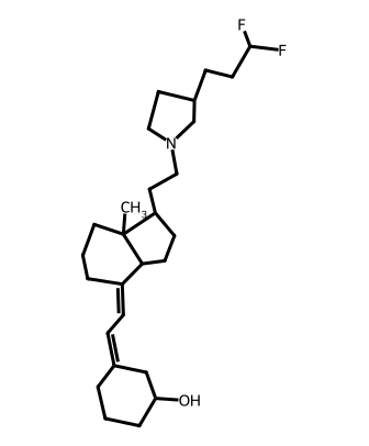 CC12CCC/C(=C\C=C3\CCCC(O)C3)C1CCC2CCN1CCC(CCC(F)F)C1